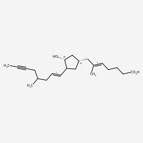 CC#CCC(C)C/C=C/C1C[C@@H](C/C(C)=C/CCCC(=O)O)C[C@H]1O